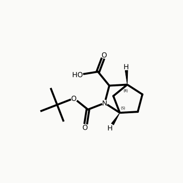 CC(C)(C)OC(=O)N1C(C(=O)O)[C@@H]2CC[C@H]1C2